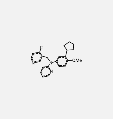 COc1ccc(N(Cc2cnccc2Cl)c2ccccn2)cc1C1CCCC1